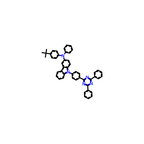 CC(C)(C)c1ccc(N(c2ccccc2)c2ccc3c(c2)c2ccccc2n3-c2ccc(-c3nc(-c4ccccc4)nc(-c4ccccc4)n3)cc2)cc1